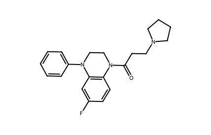 O=C(CCN1CCCC1)N1CCN(c2ccccc2)c2cc(F)ccc21